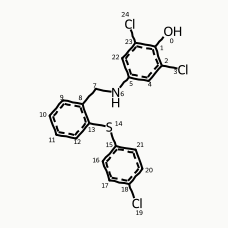 Oc1c(Cl)cc(NCc2ccccc2Sc2ccc(Cl)cc2)cc1Cl